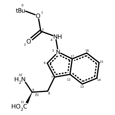 CC(C)(C)OC(=O)Nn1cc(C[C@H](N)C(=O)O)c2ccccc21